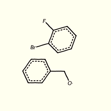 Fc1ccccc1Br.[O]Cc1ccccc1